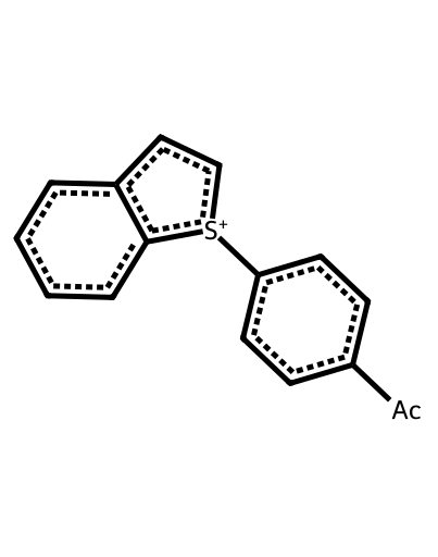 CC(=O)c1ccc(-[s+]2ccc3ccccc32)cc1